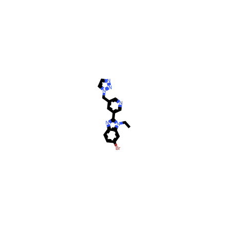 CCn1c(-c2cncc(Cn3ccnn3)c2)nc2ccc(Br)cc21